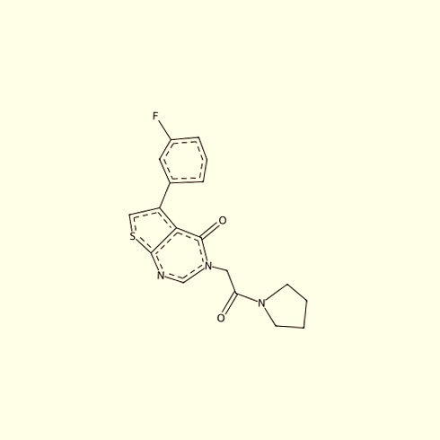 O=C(Cn1cnc2scc(-c3cccc(F)c3)c2c1=O)N1CCCC1